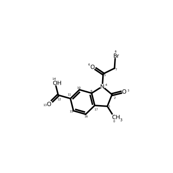 CC1C(=O)N(C(=O)CBr)c2cc(C(=O)O)ccc21